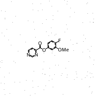 COc1cc(OC(=O)c2ccncn2)ccc1F